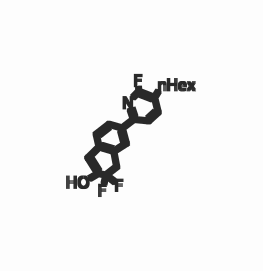 CCCCCCc1ccc(-c2ccc3c(c2)CC(F)(F)C(O)=C3)nc1F